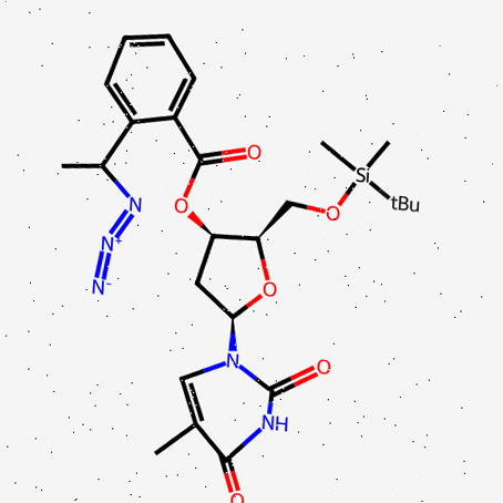 Cc1cn([C@H]2C[C@@H](OC(=O)c3ccccc3C(C)N=[N+]=[N-])[C@@H](CO[Si](C)(C)C(C)(C)C)O2)c(=O)[nH]c1=O